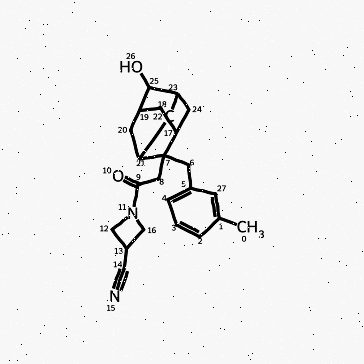 Cc1cccc(CC2(CC(=O)N3CC(C#N)C3)C3CC4CC2CC(C3)C4O)c1